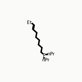 CCC=CCCCCCCP(CCC)CCC